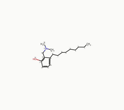 CCCCCCCCCc1cccc(O)c1CN(C)C